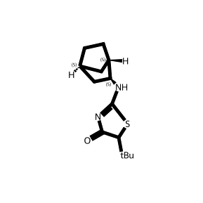 CC(C)(C)C1SC(N[C@H]2C[C@H]3CC[C@H]2C3)=NC1=O